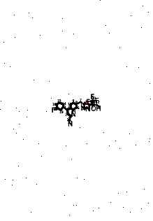 CC[C@](O)(c1cn(Cc2ccc3c(-c4cccc(F)c4)cc(C#N)nc3c2)nn1)C(F)(F)F